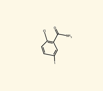 NC(=O)c1cc(I)ccc1Cl